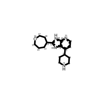 c1cc(C2CCNCC2)c2nc(C3CCCOCC3)[nH]c2n1